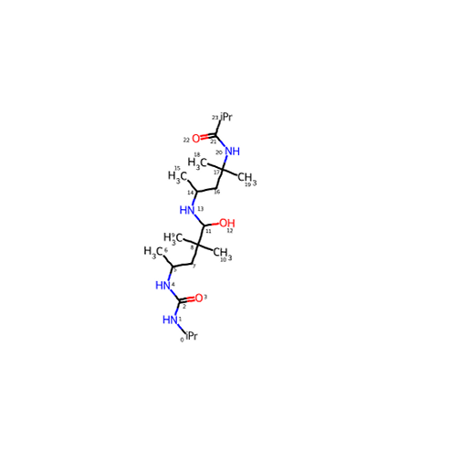 CC(C)NC(=O)NC(C)CC(C)(C)C(O)NC(C)CC(C)(C)NC(=O)C(C)C